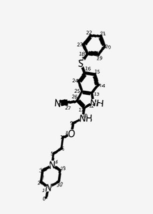 CN1CCN(CCCOCNc2[nH]c3ccc(Sc4ccccc4)cc3c2C#N)CC1